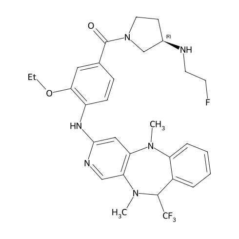 CCOc1cc(C(=O)N2CC[C@@H](NCCF)C2)ccc1Nc1cc2c(cn1)N(C)C(C(F)(F)F)c1ccccc1N2C